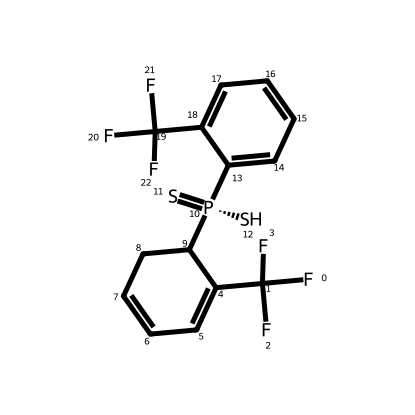 FC(F)(F)C1=CC=CCC1[P@](=S)(S)c1ccccc1C(F)(F)F